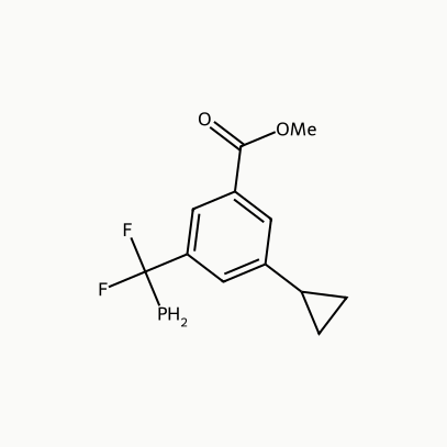 COC(=O)c1cc(C2CC2)cc(C(F)(F)P)c1